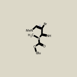 CN/C=C(/Br)C(=N)N(C)C(=O)OC(C)(C)C